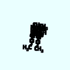 CCCc1ccc(-c2ccc(S(=O)(=O)Nc3onc(C)c3Br)s2)cc1.CCCc1ccc(-c2ccc(S(=O)(=O)Nc3onc(C)c3Br)s2)cc1